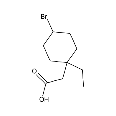 CCC1(CC(=O)O)CCC(Br)CC1